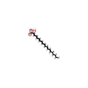 CCCCCC=CC=CC=CC=CC=CC=CC=CC(=O)O